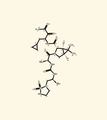 CC(C)(C)[C@H](NC(=O)N[C@H](CN1CCNS1(=O)=O)C(C)(C)C)C(=O)N1C[C@H]2[C@@H]([C@H]1C(=O)NC(CC1CC1)C(=O)C(N)=O)C2(C)C